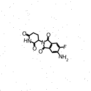 Nc1cc2c(cc1F)C(=O)N(C1CCC(=O)NC1=O)C2=O